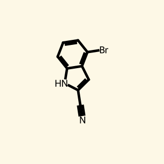 N#Cc1cc2c(Br)cccc2[nH]1